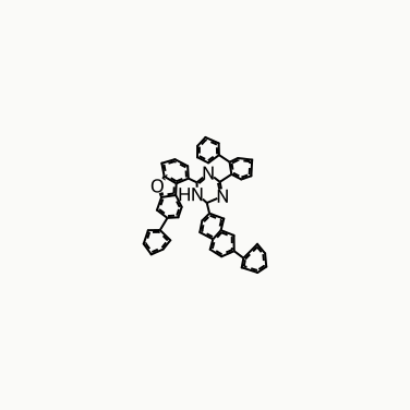 c1ccc(-c2ccc3ccc(C4N=C(c5ccccc5-c5ccccc5)N=C(c5cccc6oc7cc(-c8ccccc8)ccc7c56)N4)cc3c2)cc1